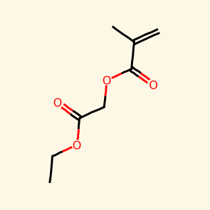 C=C(C)C(=O)OCC(=O)OCC